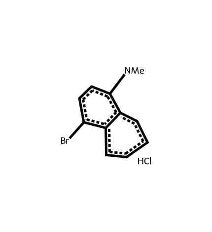 CNc1ccc(Br)c2ccccc12.Cl